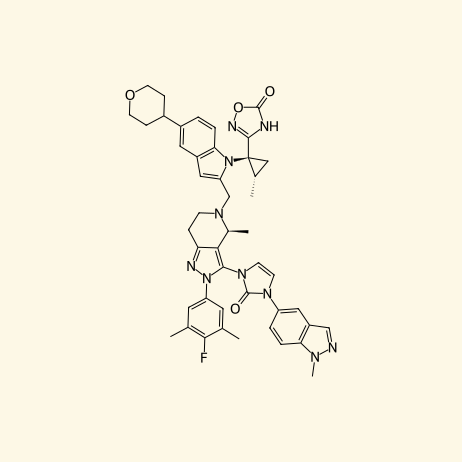 Cc1cc(-n2nc3c(c2-n2ccn(-c4ccc5c(cnn5C)c4)c2=O)[C@H](C)N(Cc2cc4cc(C5CCOCC5)ccc4n2[C@@]2(c4noc(=O)[nH]4)C[C@@H]2C)CC3)cc(C)c1F